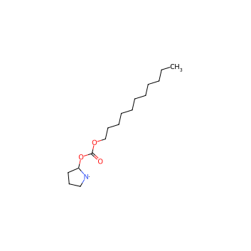 CCCCCCCCCCCOC(=O)OC1CCC[N]1